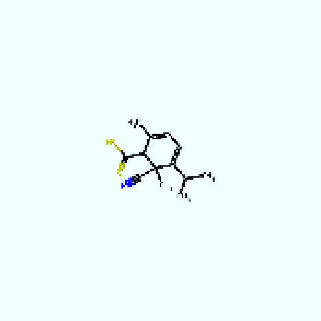 CC1=CC=C(C(C)C)C(C)(C#N)C1C(=S)S